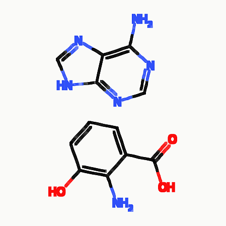 Nc1c(O)cccc1C(=O)O.Nc1ncnc2[nH]cnc12